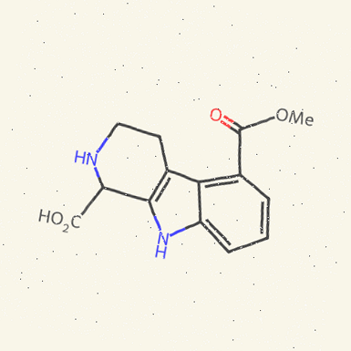 COC(=O)c1cccc2[nH]c3c(c12)CCNC3C(=O)O